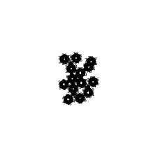 C1=CCCC(c2cc(-c3ccc(N(c4ccccc4)c4ccccc4)cc3)c3c4c(c5c(c3c2-c2ccc(N(C3=CCCC=C3)c3ccccc3)cc2)CCC(N(C2=CCCC=C2)c2ccccc2)=C5)C=C(c2ccc3ccccc3c2)CC4)=C1